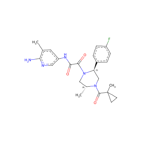 Cc1cc(NC(=O)C(=O)N2C[C@@H](C)N(C(=O)C3(C)CC3)C[C@@H]2c2ccc(F)cc2)cnc1N